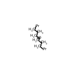 CC(=CCOC(=O)CC(C)CCCC(C)CCCC(C)CCCC(C)C)CCCC(C)CCCC(C)CCCC(C)C